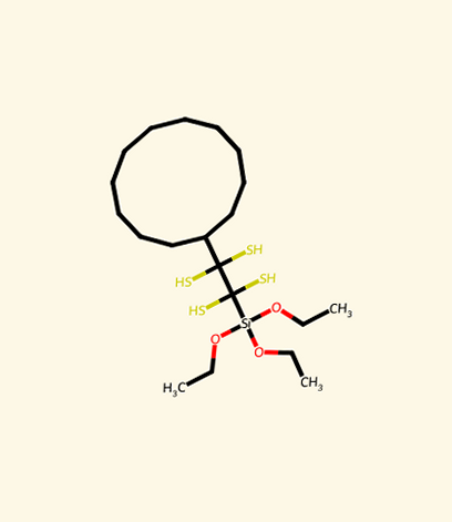 CCO[Si](OCC)(OCC)C(S)(S)C(S)(S)C1CCCCCCCCCCC1